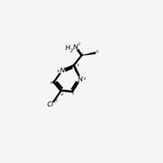 C[C@H](N)c1ncc(Cl)cn1